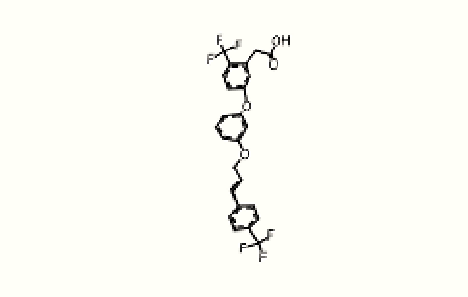 O=C(O)Cc1cc(Oc2cccc(OCC=Cc3ccc(C(F)(F)F)cc3)c2)ccc1C(F)(F)F